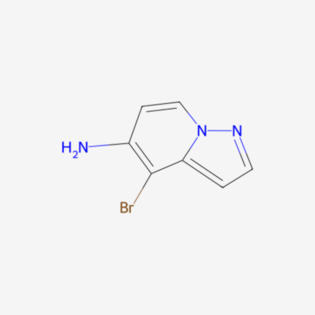 Nc1ccn2nccc2c1Br